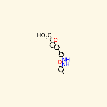 Cc1cccc(NC(=O)Nc2ccc(-c3ccc4c(c3)CCC(CCC(=O)O)C4=O)cc2)c1